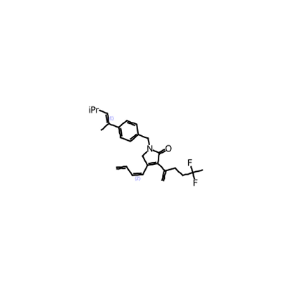 C=C/C=C\C1=C(C(=C)CCC(C)(F)F)C(=O)N(Cc2ccc(/C(C)=C/C(C)C)cc2)C1